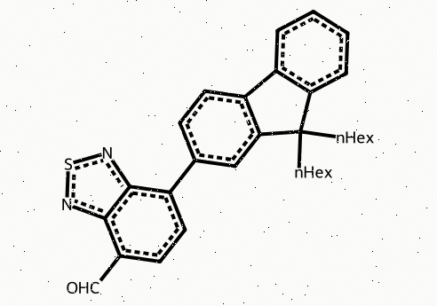 CCCCCCC1(CCCCCC)c2ccccc2-c2ccc(-c3ccc(C=O)c4nsnc34)cc21